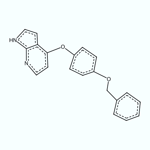 c1ccc(COc2ccc(Oc3ccnc4[nH]ccc34)cc2)cc1